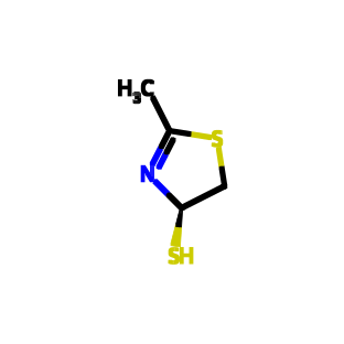 CC1=N[C@H](S)CS1